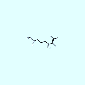 CCCN(CC)CCC[SiH2]C(C)=C(C)C